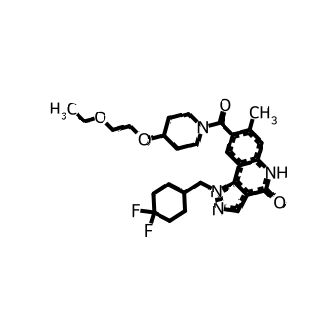 CCOCCOC1CCN(C(=O)c2cc3c(cc2C)[nH]c(=O)c2cnn(CC4CCC(F)(F)CC4)c23)CC1